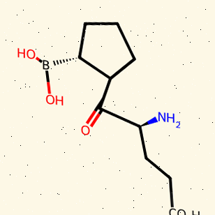 N[C@@H](CCC(=O)O)C(=O)C1CCC[C@H]1B(O)O